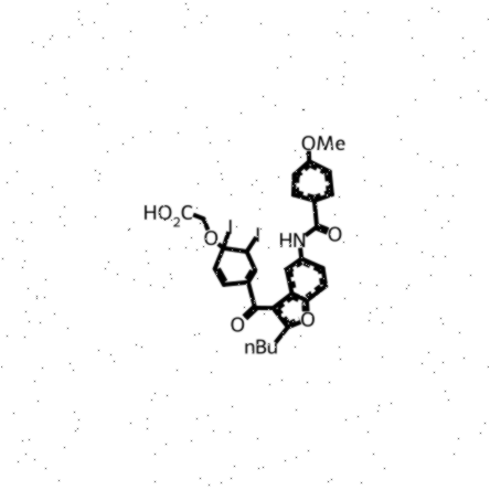 CCCCc1oc2ccc(NC(=O)c3ccc(OC)cc3)cc2c1C(=O)C1=CC(I)C(I)(OCC(=O)O)C=C1